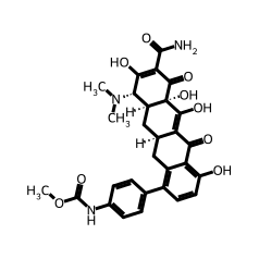 COC(=O)Nc1ccc(-c2ccc(O)c3c2C[C@H]2C[C@H]4[C@H](N(C)C)C(O)=C(C(N)=O)C(=O)[C@@]4(O)C(O)=C2C3=O)cc1